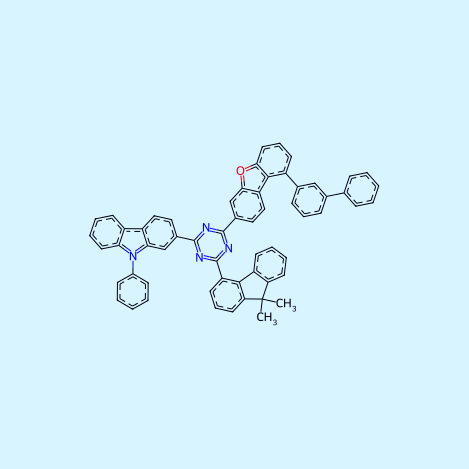 CC1(C)c2ccccc2-c2c(-c3nc(-c4ccc5c(c4)oc4cccc(-c6cccc(-c7ccccc7)c6)c45)nc(-c4ccc5c6ccccc6n(-c6ccccc6)c5c4)n3)cccc21